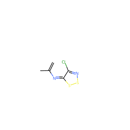 C=C(C)/N=c1/ssnc1Cl